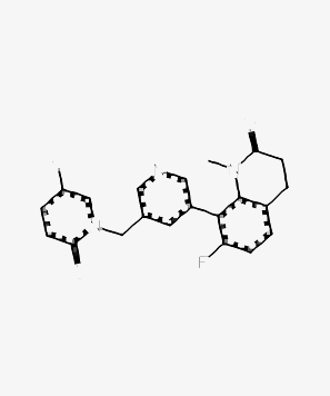 CN1C(=O)CCc2ccc(F)c(-c3cncc(Cn4cc(Cl)ccc4=O)c3)c21